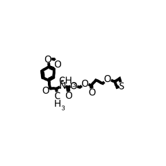 CC(C(=O)c1ccc2c(c1)OCO2)N(C)C(=O)OCOC(=O)CCOC1CSC1